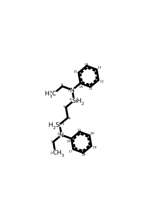 CCN([SiH2]CC[SiH2]N(CC)c1ccccc1)c1ccccc1